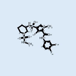 CNS(=O)(=O)N1CCCC(NS(=O)(=O)c2cn(C)c(C(=O)Nc3ccc(F)c(F)c3)c2F)C1